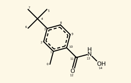 Cc1cc(C(C)(C)C)ccc1C(=O)NO